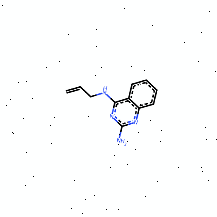 C=CCNc1nc(N)nc2ccccc12